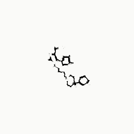 COC(=O)c1[nH]c(=O)n(CCCCCN2CCC(O)(c3ccccc3)CC2)c1-c1ccc(F)c(F)c1